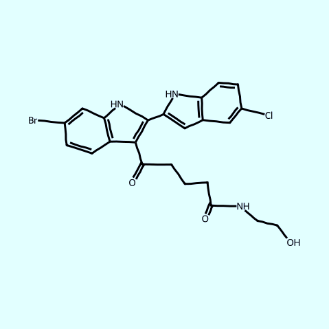 O=C(CCCC(=O)c1c(-c2cc3cc(Cl)ccc3[nH]2)[nH]c2cc(Br)ccc12)NCCO